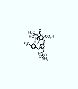 C[C@@H](O)[C@H]1C(=O)N2C(C(=O)O)=C(S[C@H]3C[C@@H](CNS(N)(=O)=O)N(Cc4ccc(C(F)(F)F)cc4)C3)[C@H](C)[C@H]12